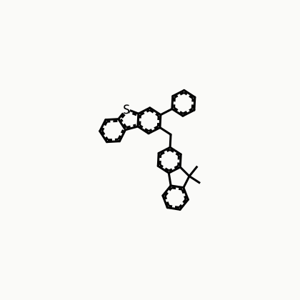 CC1(C)c2ccccc2-c2ccc(Cc3cc4c(cc3-c3ccccc3)sc3ccccc34)cc21